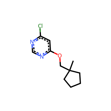 CC1(COc2cc(Cl)ncn2)CCCC1